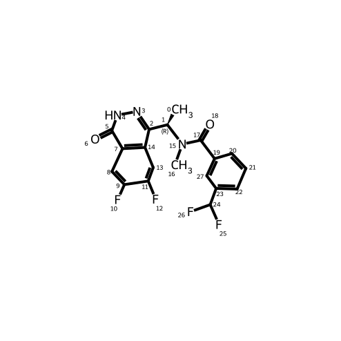 C[C@H](c1n[nH]c(=O)c2cc(F)c(F)cc12)N(C)C(=O)c1cccc(C(F)F)c1